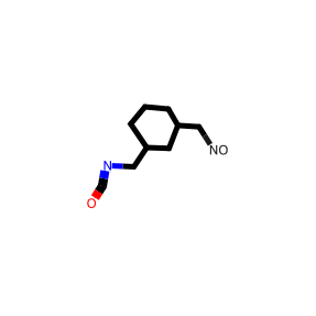 O=C=NCC1CCCC(CN=O)C1